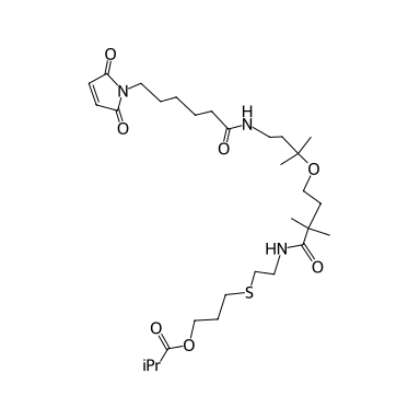 CC(C)C(=O)OCCCSCCNC(=O)C(C)(C)CCOC(C)(C)CCNC(=O)CCCCCN1C(=O)C=CC1=O